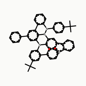 CC(C)(C)c1ccc(N2B3c4cc5c(cc4N(c4ccc(C(C)(C)C)cc4-c4ccccc4)c4cc(-c6ccccc6)cc(c43)-c3ccccc32)sc2ccccc25)cc1